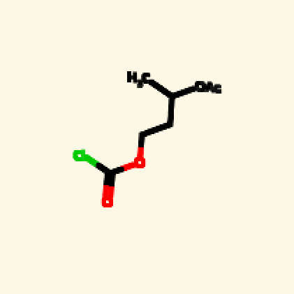 CC(=O)OC(C)CCOC(=O)Cl